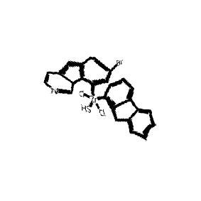 [SH][Zr]([Cl])([Cl])([c]1cccc2c1Cc1ccccc1-2)[c]1cc(Br)cc2c1C1C=NC=CC1=C2